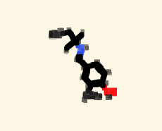 COc1cc(/C=N/C(C)(C)CC(C)(C)C)ccc1O